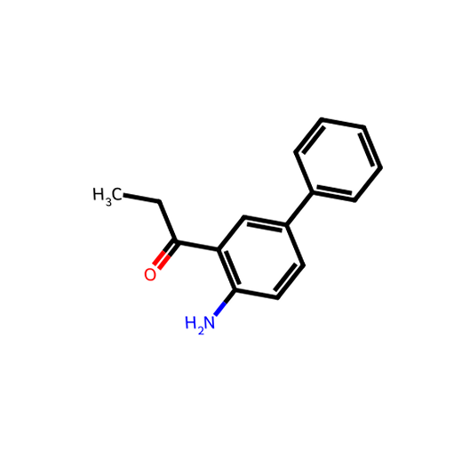 CCC(=O)c1cc(-c2ccccc2)ccc1N